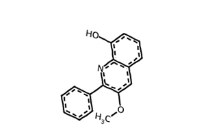 COc1cc2cccc(O)c2nc1-c1ccccc1